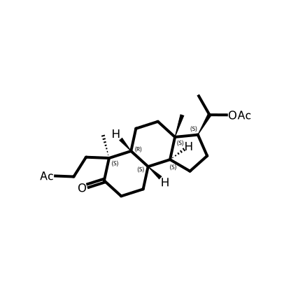 CC(=O)CC[C@]1(C)C(=O)CC[C@@H]2[C@H]1CC[C@]1(C)[C@@H](C(C)OC(C)=O)CC[C@@H]21